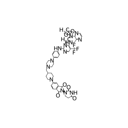 CN(c1nccnc1CNc1nc(Nc2ccc(N3CCN(CC4CCN(c5ccc6c(c5)C(=O)N(N5CCC(=O)NC5=O)C6=O)CC4)CC3)cc2)ncc1C(F)(F)F)S(C)(=O)=O